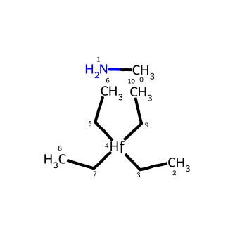 CN.C[CH2][Hf]([CH2]C)([CH2]C)[CH2]C